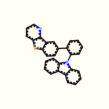 c1ccc(-n2c3ccccc3c3ccccc32)c(-c2ccc3sc4cccnc4c3c2)c1